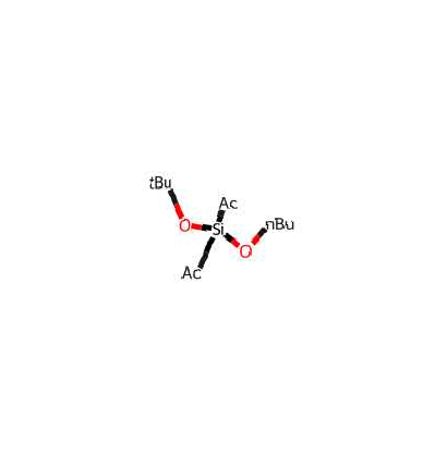 CCCCO[Si](OC(C)(C)C)(C(C)=O)C(C)=O